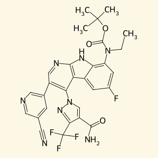 CCN(C(=O)OC(C)(C)C)c1cc(F)cc2c1[nH]c1ncc(-c3cncc(C#N)c3)c(-n3cc(C(N)=O)c(C(F)(F)F)n3)c12